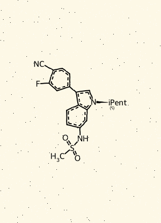 CCC[C@H](C)n1cc(-c2ccc(C#N)c(F)c2)c2ccc(NS(C)(=O)=O)cc21